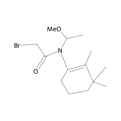 COC(C)N(C(=O)CBr)C1=C(C)C(C)(C)CCC1